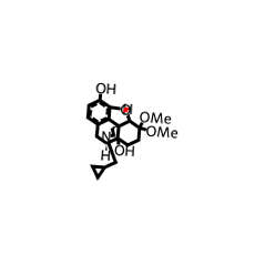 COC1(OC)CCC2(O)[C@H]3Cc4ccc(O)c5c4[C@@]2(CCN3CC2CC2)[C@H]1O5